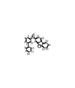 CN(c1cccc(-c2ccccc2)c1)c1ccc2c(c1)oc1ccccc12